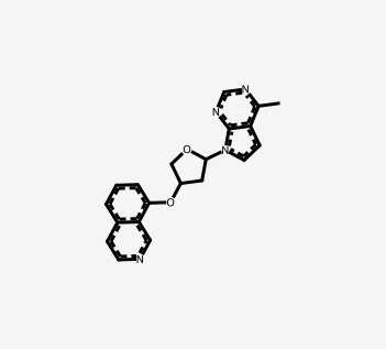 Cc1ncnc2c1ccn2C1CC(Oc2cccc3ccncc23)CO1